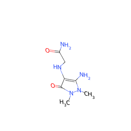 Cn1c(N)c(NCC(N)=O)c(=O)n1C